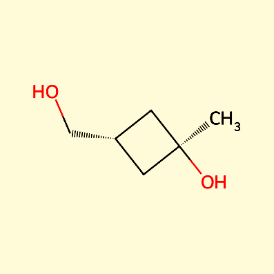 C[C@]1(O)C[C@H](CO)C1